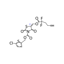 C#CCCC(F)(F)C(=O)O/C=C1/SC(=O)N(C(=O)OCc2ccc(Cl)s2)C1=O